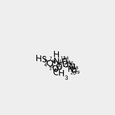 COc1ccc(S)cc1NC(=O)c1ccc(Cn2cccn2)o1